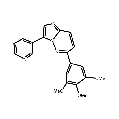 COc1cc(-c2ccc3ncc(-c4cccnc4)n3n2)cc(OC)c1OC